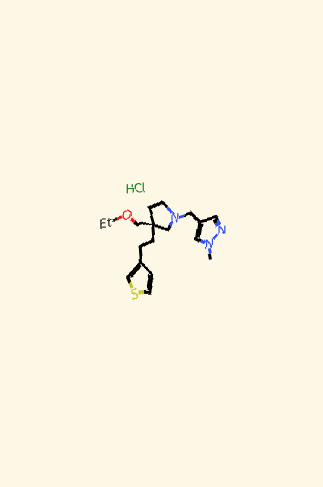 CCOC[C@@]1(CCc2ccsc2)CCN(Cc2cnn(C)c2)C1.Cl